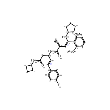 COc1cccc(OC)c1/C(=C/C(=N)C(=O)NC(/C=C/c1ccc(F)cc1)CC(=O)NC1CCC1)NC1CCCC1